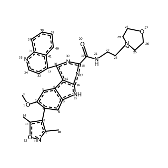 COc1cc2c(cc1-c1c(C)noc1C)[nH]c1nc(C(=O)NCCN3CCOCC3)nc(-c3ccnc4ccccc34)c12